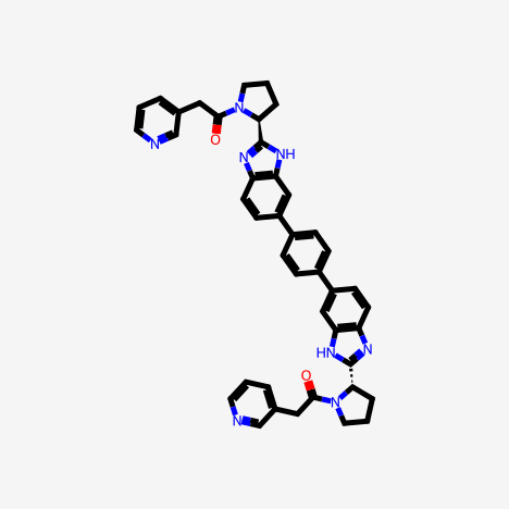 O=C(Cc1cccnc1)N1CCC[C@H]1c1nc2ccc(-c3ccc(-c4ccc5nc([C@@H]6CCCN6C(=O)Cc6cccnc6)[nH]c5c4)cc3)cc2[nH]1